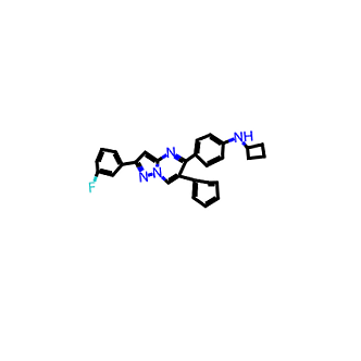 Fc1cccc(-c2cc3nc(-c4ccc(NC5CCC5)cc4)c(-c4ccccc4)cn3n2)c1